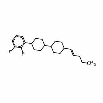 CCC/C=C/C1CCC(C2CCC(c3cccc(F)c3F)CC2)CC1